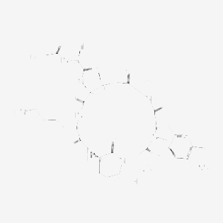 CCCC(=O)N[C@H](C(=O)N[C@@H]1C(=O)N[C@@H](CCCCN)C(=O)N[C@H]2CC[C@@H](O)N(C2=O)[C@@H]([C@@H](C)CC)C(=O)N(C)[C@@H](Cc2ccc(OC)c(Br)c2)C(=O)N[C@@H](C(C)C)C(=O)O[C@@H]1C)C(C)C